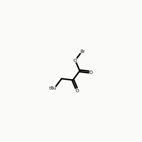 CC(C)(C)CC(=O)C(=O)OBr